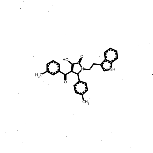 Cc1ccc(C2C(C(=O)c3cccc(C)c3)=C(O)C(=O)N2CCc2c[nH]c3ccccc23)cc1